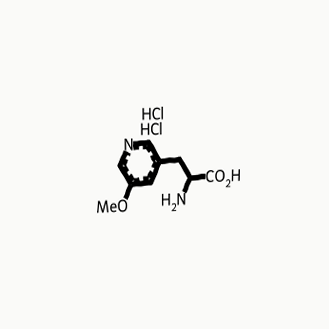 COc1cncc(CC(N)C(=O)O)c1.Cl.Cl